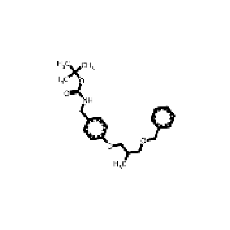 CC(COCc1ccccc1)COc1ccc(CNC(=O)OC(C)(C)C)cc1